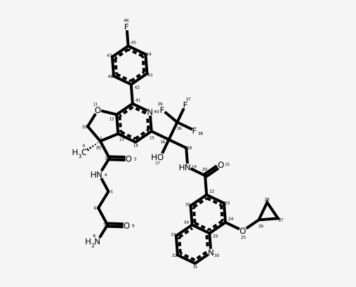 C[C@]1(C(=O)NCCC(N)=O)COc2c1cc(C(O)(CNC(=O)c1cc(OC3CC3)c3ncccc3c1)C(F)(F)F)nc2-c1ccc(F)cc1